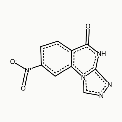 O=c1[nH]c2nncn2c2cc([N+](=O)[O-])ccc12